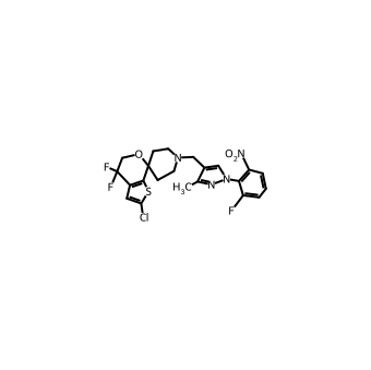 Cc1nn(-c2c(F)cccc2[N+](=O)[O-])cc1CN1CCC2(CC1)OCC(F)(F)c1cc(Cl)sc12